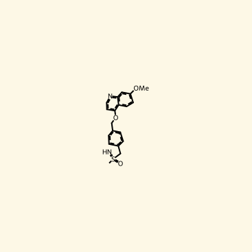 COc1ccc2c(OCc3ccc(CS(C)(=N)=O)cc3)ccnc2c1